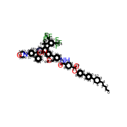 CCCCCC1CCC(c2ccc(-c3ccc(OC(=O)C4CCC(C(=O)Nc5ccc(-c6cc7c8c(c(/C=C\C(O)(c9ccccc9)c9ccc(N%10CCOCC%10)cc9)c(C)c7cc6OC)C(C)(C)c6c-8cc(C(F)(F)F)cc6C(F)(F)F)c(C)c5)CC4)cc3)cc2)CC1